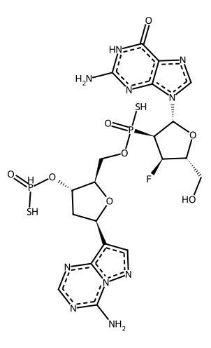 Nc1nc2c(ncn2[C@@H]2O[C@H](CO)[C@@H](F)[C@H]2P(=O)(S)OC[C@H]2O[C@@H](c3cnn4c(N)ncnc34)C[C@@H]2O[PH](=O)S)c(=O)[nH]1